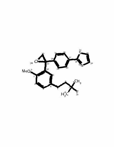 COc1ccc(CCC(C)(C)F)cc1C1(c2ccc(-c3nccs3)cc2)CO1